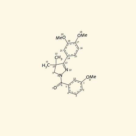 COc1cccc(C(=O)N2CC(C)(C)C(c3ccc(OC)c(OC)c3)=N2)c1